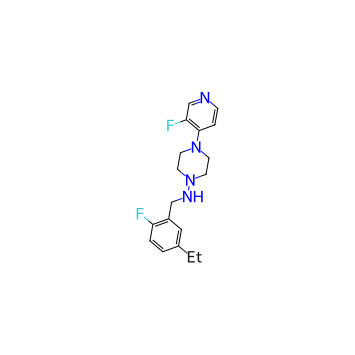 CCc1ccc(F)c(CNN2CCN(c3ccncc3F)CC2)c1